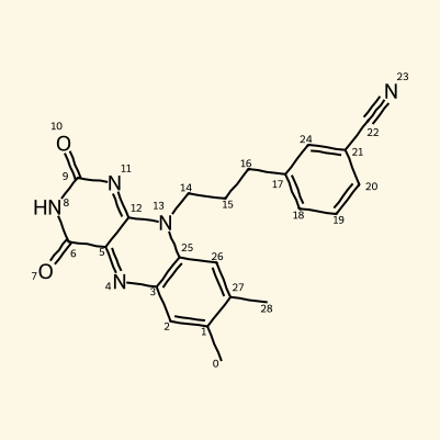 Cc1cc2nc3c(=O)[nH]c(=O)nc-3n(CCCc3cccc(C#N)c3)c2cc1C